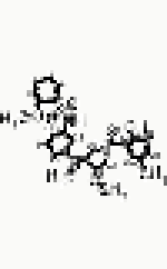 COc1ccccc1S(=O)(=O)Nc1cccc(N(C)C2CN(C(=O)c3cc(C)ccc3C)CC2OC)c1